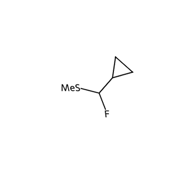 CSC(F)C1CC1